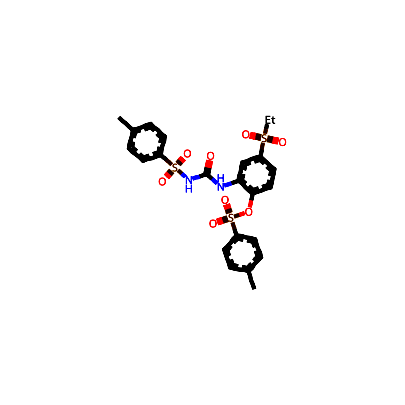 CCS(=O)(=O)c1ccc(OS(=O)(=O)c2ccc(C)cc2)c(NC(=O)NS(=O)(=O)c2ccc(C)cc2)c1